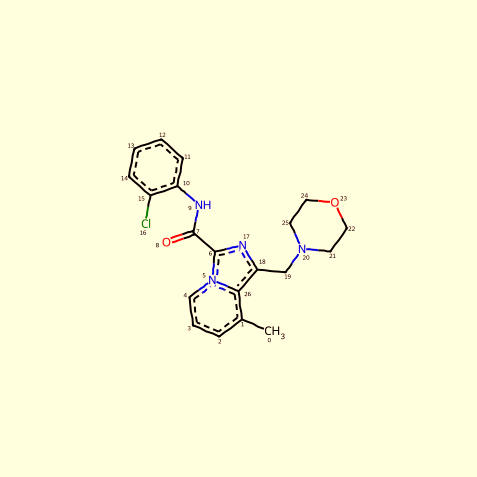 Cc1cccn2c(C(=O)Nc3ccccc3Cl)nc(CN3CCOCC3)c12